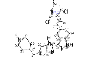 C=N/C=C(Cl)\C(=C(/C)Cl)C(C)Oc1ccc2[nH]nc(-c3nc4c([nH]3)CN(CC3CCN(C)CC3)C4)c2c1